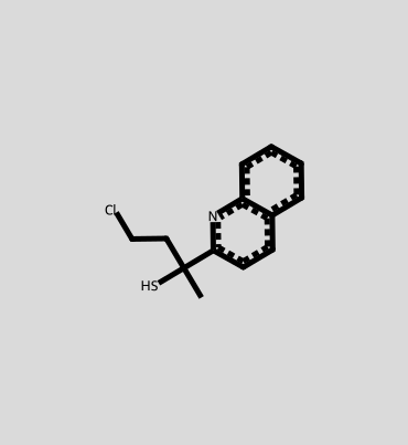 CC(S)(CCCl)c1ccc2ccccc2n1